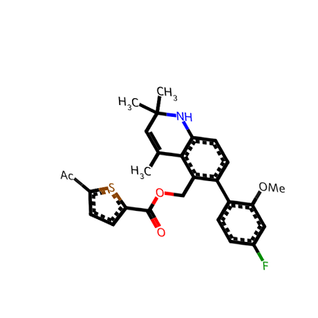 COc1cc(F)ccc1-c1ccc2c(c1COC(=O)c1ccc(C(C)=O)s1)C(C)=CC(C)(C)N2